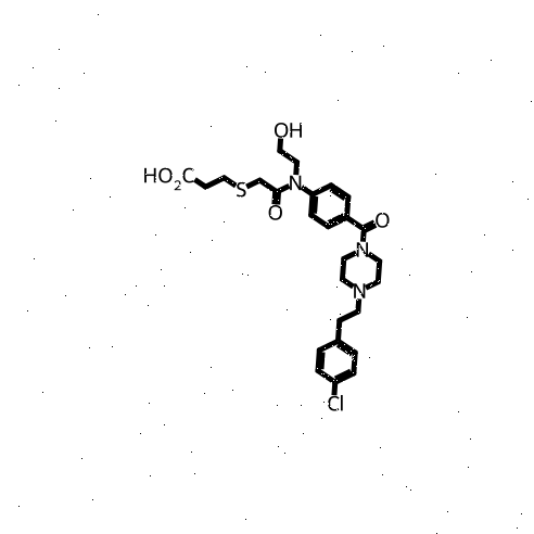 O=C(O)CCSCC(=O)N(CCO)c1ccc(C(=O)N2CCN(CCc3ccc(Cl)cc3)CC2)cc1